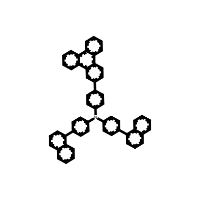 c1ccc2c(-c3ccc(N(c4ccc(-c5ccc6c7ccccc7c7ccccc7c6c5)cc4)c4ccc(-c5cccc6ccccc56)cc4)cc3)cccc2c1